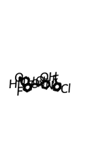 O=C1CCc2c(OC[C@@]3(O)CCN(c4ccc(Cl)cc4F)C[C@@H]3O)ccc(F)c2N1